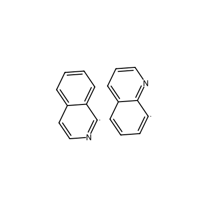 [c]1cccc2cccnc12.[c]1nccc2ccccc12